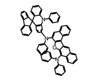 c1ccc(N2c3ccccc3C3(c4ccccc4-c4ccccc43)c3ccc(N(c4ccccc4)c4cc5ccccc5c5c4oc4c(N(c6ccccc6)c6ccccc6)c6ccccc6cc45)cc32)cc1